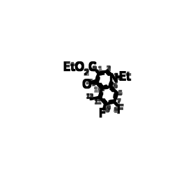 CCOC(=O)c1cn(CC)c2cc(F)c(F)c(C)c2c1=O